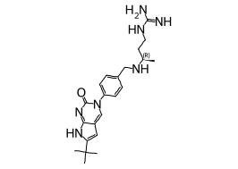 C[C@H](CCNC(=N)N)NCc1ccc(-n2cc3cc(C(C)(C)C)[nH]c3nc2=O)cc1